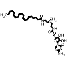 CC/C=C\C/C=C\C/C=C\C/C=C\C/C=C\CCCC(=O)NCCN(C)CCNC(=O)OC[C@H]1OC(n2cnc(N)nc2=O)[C@H](O)[C@@H]1O